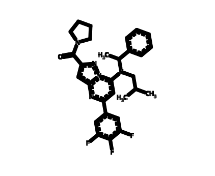 CC(C)CN(c1cc(-c2cc(F)c(F)c(F)c2)nc2cc(C(=O)N3CCCC3)nn12)C(C)c1ccccc1